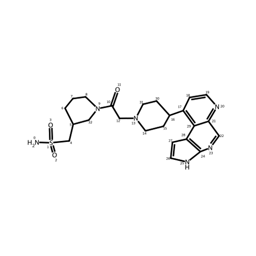 NS(=O)(=O)CC1CCCN(C(=O)CN2CCC(c3ccnc4cnc5[nH]ccc5c34)CC2)C1